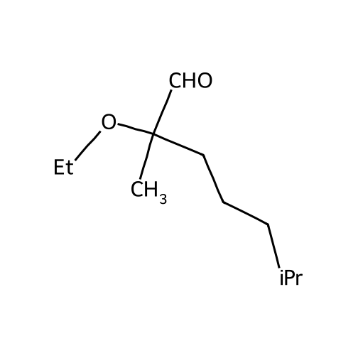 CCOC(C)(C=O)CCCC(C)C